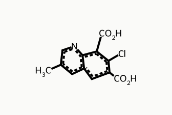 Cc1cnc2c(C(=O)O)c(Cl)c(C(=O)O)cc2c1